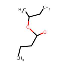 CCCC([O])OC(C)CC